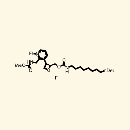 CCCCCCCCCCCCCCCCCCNC(=O)OCC1OCC1c1ccc[n+](CC)c1CNC(=O)OC.[I-]